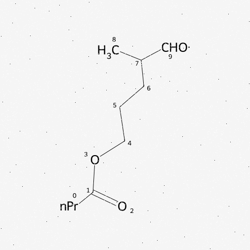 CCCC(=O)OCCCC(C)[C]=O